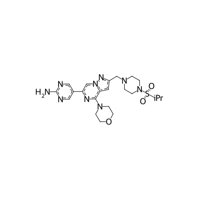 CC(C)S(=O)(=O)N1CCN(Cc2cc3c(N4CCOCC4)nc(-c4cnc(N)nc4)cn3n2)CC1